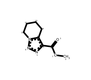 COC(=O)c1nnn2c1CCCC2